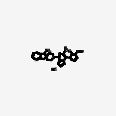 COc1cccc(-c2c(C)nc(N3CCC4(CC3)Cc3ncccc3[C@H]4N)c3ccnn23)c1Cl.Cl